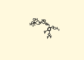 COc1cc(C2CC(F)(F)C2)c(C2CC2)cc1CN1CC2(CC(N3CCC(C)(C(=O)O)CC3)=NO2)C1